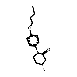 CCCCOc1ccc([C@@H]2CC[C@@H](C)CC2=O)cc1